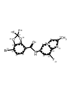 Cc1cn2cc(NC(=O)c3ccc(Br)c4c3OC(F)(F)O4)cc(F)c2n1